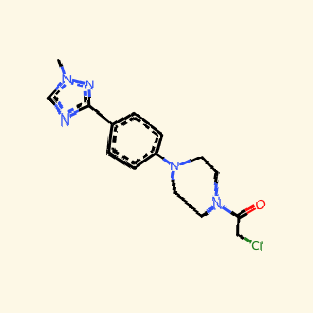 Cn1cnc(-c2ccc(N3CCN(C(=O)CCl)CC3)cc2)n1